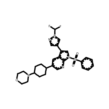 O=S(=O)(c1ccccc1)n1cc(-c2cnn(C(F)F)c2)c2cc(C3CCC(N4CCOCC4)CC3)cnc21